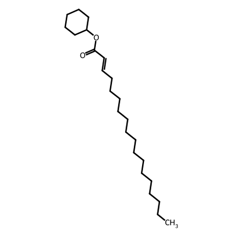 CCCCCCCCCCCCCCCC=CC(=O)OC1CCCCC1